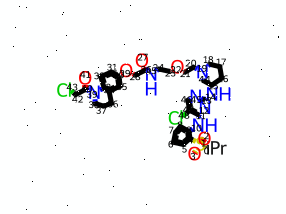 CC(C)S(=O)(=O)c1ccccc1Nc1nc(N[C@@H]2CCCN(CCOCCNC(=O)COc3ccc4c(c3)CCCN4C(=O)CCl)C2)ncc1Cl